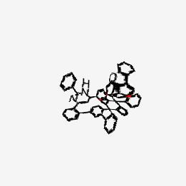 C1=C(c2ccccc2-c2ccc3c(c2)-c2ccccc2C32c3ccccc3C3(c4ccccc4-c4ccccc43)c3ccccc32)N=C(c2ccccc2)NC1c1ccc(-c2cccc3c2oc2ccccc23)cc1